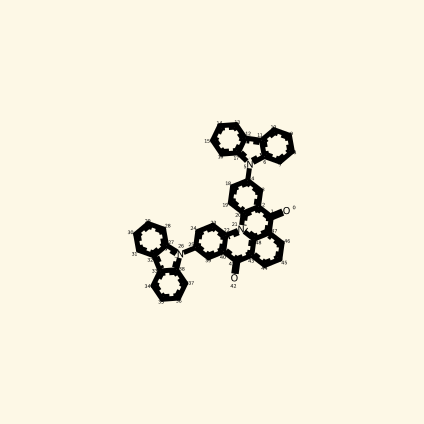 O=c1c2cc(-n3c4ccccc4c4ccccc43)ccc2n2c3ccc(-n4c5ccccc5c5ccccc54)cc3c(=O)c3cccc1c32